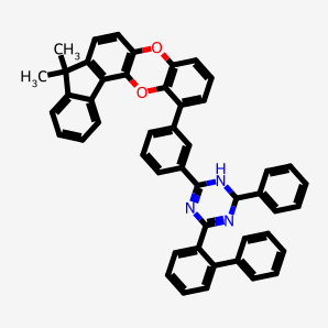 CC1(C)c2ccccc2-c2c1ccc1c2Oc2c(cccc2-c2cccc(C3=NC(c4ccccc4-c4ccccc4)=NC(c4ccccc4)N3)c2)O1